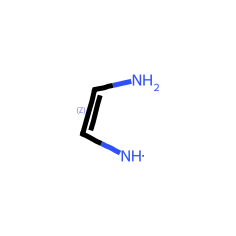 [NH]/C=C\N